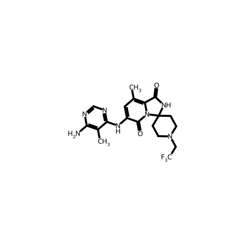 Cc1cc(Nc2ncnc(N)c2C)c(=O)n2c1C(=O)NC21CCN(CC(F)(F)F)CC1